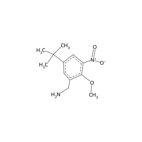 COc1c(CN)cc(C(C)(C)C)cc1[N+](=O)[O-]